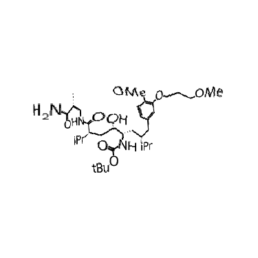 COCCCOc1cc(C[C@@H](C[C@H](NC(=O)OC(C)(C)C)[C@@H](O)C[C@H](C(=O)NC[C@@H](C)C(N)=O)C(C)C)C(C)C)ccc1OC